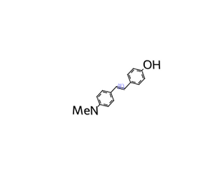 [11CH3]Nc1ccc(/C=C/c2ccc(O)cc2)cc1